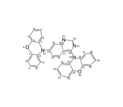 c1ccc2c(c1)Oc1ccccc1N2c1ccc2c(N3c4ccccc4Oc4ccccc43)ncnc2c1